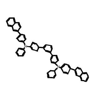 C1=CCC(N(c2ccc(-c3cccc(C4C=CC(N(c5ccccc5)c5ccc(-c6ccc7ccccc7c6)cc5)=CC4)c3)cc2)c2ccc(-c3ccc4ccccc4c3)cc2)C=C1